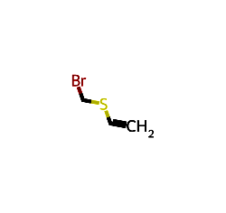 C=CSCBr